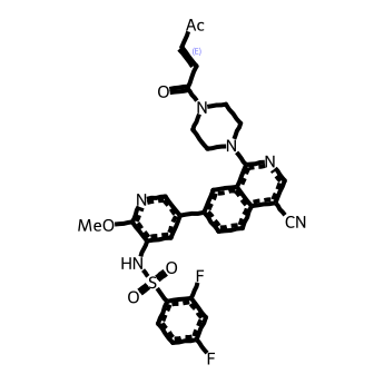 COc1ncc(-c2ccc3c(C#N)cnc(N4CCN(C(=O)/C=C/C(C)=O)CC4)c3c2)cc1NS(=O)(=O)c1ccc(F)cc1F